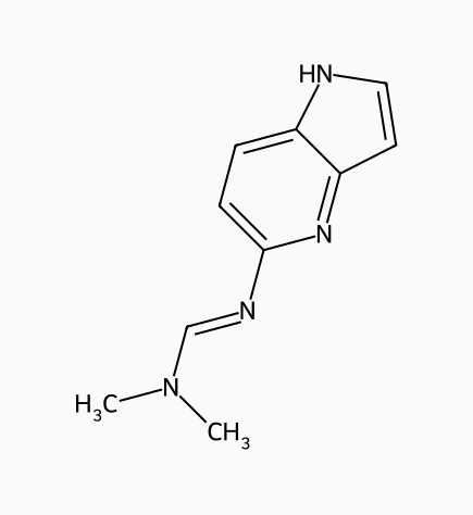 CN(C)C=Nc1ccc2[nH]ccc2n1